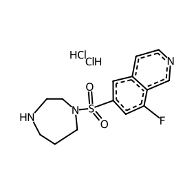 Cl.Cl.O=S(=O)(c1cc(F)c2cnccc2c1)N1CCCNCC1